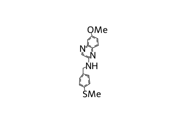 COc1ccc2nc(NCc3ccc(SC)cc3)cnc2c1